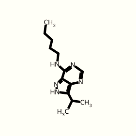 CCCCCNc1ncnc2c(C(C)C)[nH]nc12